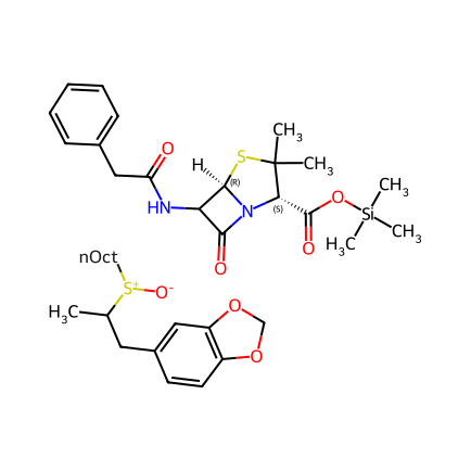 CC1(C)S[C@@H]2C(NC(=O)Cc3ccccc3)C(=O)N2[C@H]1C(=O)O[Si](C)(C)C.CCCCCCCC[S+]([O-])C(C)Cc1ccc2c(c1)OCO2